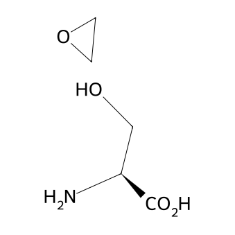 C1CO1.N[C@@H](CO)C(=O)O